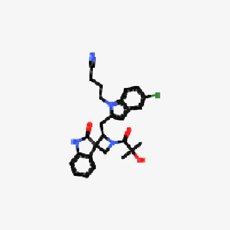 CC(C)(O)C(=O)N1CC2(C(=O)Nc3ccccc32)C1Cc1cc2cc(Cl)ccc2n1CCCC#N